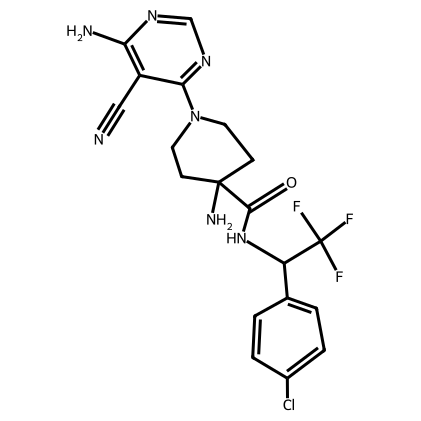 N#Cc1c(N)ncnc1N1CCC(N)(C(=O)NC(c2ccc(Cl)cc2)C(F)(F)F)CC1